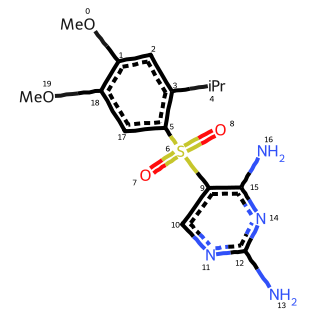 COc1cc(C(C)C)c(S(=O)(=O)c2cnc(N)nc2N)cc1OC